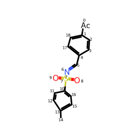 CC(=O)c1ccc(C=NS(=O)(=O)c2ccc(C)cc2)cc1